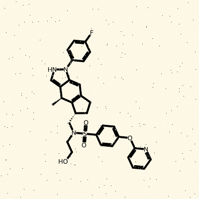 C[C@H]1C2=CNN(c3ccc(F)cc3)C2=CC2=C1[C@@H](CN(CCO)S(=O)(=O)c1ccc(Oc3ccccn3)cc1)CC2